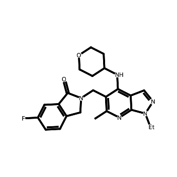 CCn1ncc2c(NC3CCOCC3)c(CN3Cc4ccc(F)cc4C3=O)c(C)nc21